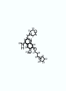 CNc1cc(CN2CCOCC2)nc2cc(OCCCN3CCCC3)c(OC)cc12